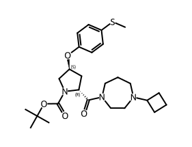 CSc1ccc(O[C@H]2C[C@H](C(=O)N3CCCN(C4CCC4)CC3)N(C(=O)OC(C)(C)C)C2)cc1